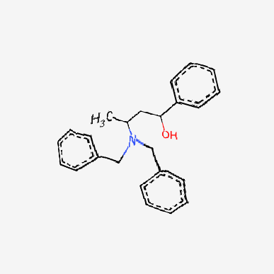 CC(CC(O)c1ccccc1)N(Cc1ccccc1)Cc1ccccc1